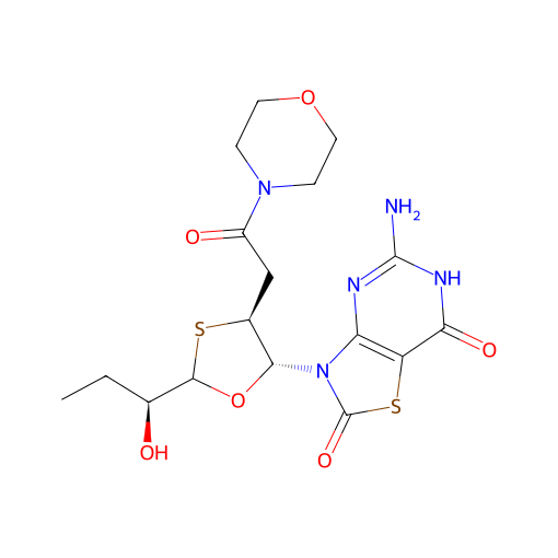 CC[C@H](O)C1O[C@@H](n2c(=O)sc3c(=O)[nH]c(N)nc32)[C@H](CC(=O)N2CCOCC2)S1